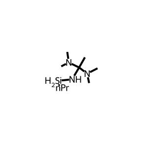 CCC[SiH2]NC(C)(N(C)C)N(C)C